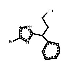 OCCC(c1ccccc1)c1nc(Br)n[nH]1